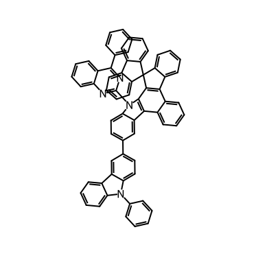 c1ccc(-c2nc(-n3c4ccc(-c5ccc6c(c5)c5ccccc5n6-c5ccccc5)cc4c4c5ccccc5c5c(c43)C3(c4ccccc4-c4ccccc43)c3ccccc3-5)nc3ccccc23)cc1